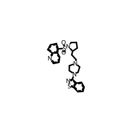 O=S(=O)(c1cccc2ncccc12)N1CCCC1CCN1CCN(c2nsc3ccccc23)CC1